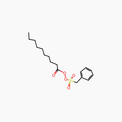 CCCCCCCCCC(=O)OOS(=O)(=O)Cc1ccccc1